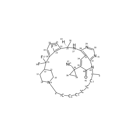 CC1CCCCCCCN2CCC(CC2)C(F)(F)c2cccc(c2F)[C@@H](C)Nc2ncnc3c2cc(C2(C#N)CC2)c(=O)n31